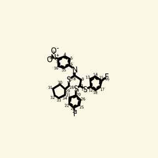 O=[N+]([O-])c1ccc(N=C(CC(Sc2ccc(F)cc2)Sc2ccc(F)cc2)SCC2CCCCC2)cc1